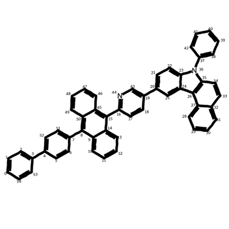 c1ccc(-c2ccc(-c3c4ccccc4c(-c4ccc(-c5ccc6c(c5)c5c7ccccc7ccc5n6-c5ccccc5)cn4)c4ccccc34)cc2)cc1